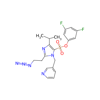 CC(C)c1nc(CCN=[N+]=[N-])n(Cc2cccnc2)c1S(=O)(=O)Oc1cc(F)cc(F)c1